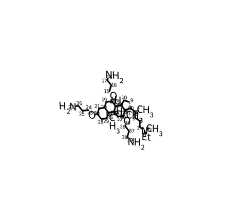 CCN(C)CCC[C@@H](C)[C@H]1CC[C@H]2C3[C@H](OCCCN)CC4C[C@H](OCCCN)CC[C@]4(C)[C@H]3C[C@H](OCCCN)C12C